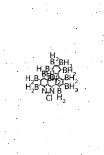 Bc1c(B)c(B)c2c(-c3c(B)c(B)c(B)c4c3oc3c(B)c(B)c(B)c(B)c34)nc(Cl)nc2c1B